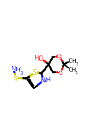 CC1(C)OCC(O)(C2NC=C(SN)S2)CO1